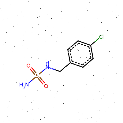 NS(=O)(=O)NCc1ccc(Cl)cc1